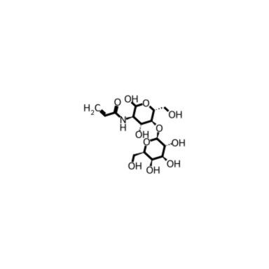 C=CC(=O)N[C@H]1C(O)O[C@H](CO)[C@@H](O[C@@H]2O[C@H](CO)[C@H](O)[C@H](O)[C@H]2O)[C@@H]1O